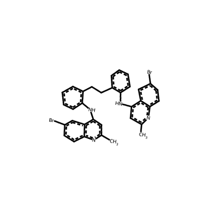 Cc1cc(Nc2ccccc2CCc2ccccc2Nc2cc(C)nc3ccc(Br)cc23)c2cc(Br)ccc2n1